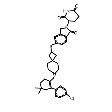 CC1(C)CCC(CN2CCC3(CC2)CC(Sc2ccc4c(c2)CN(C2CCC(=O)NC2=O)C4=O)C3)=C(c2ccc(Cl)cc2)C1